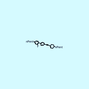 CCCCCc1ccc(-c2ccc(C#CC3=CCC(CCCCC)CC3)cc2)c(F)c1